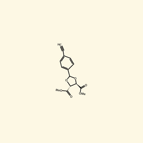 C#Cc1ccc(C2O[C@@H](C(=O)OC)[C@H](C(=O)OC)O2)cc1